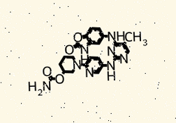 Cc1cnc(Nc2ccc(N3CCCC(OC(N)=O)C3)nc2)nc1Nc1ccc2oc(=O)[nH]c2c1